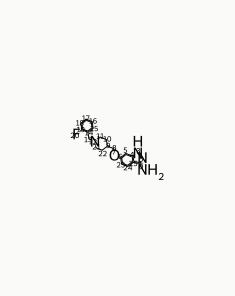 Nc1n[nH]c2cc(OCC3CCN(Cc4ccccc4F)CC3)ccc12